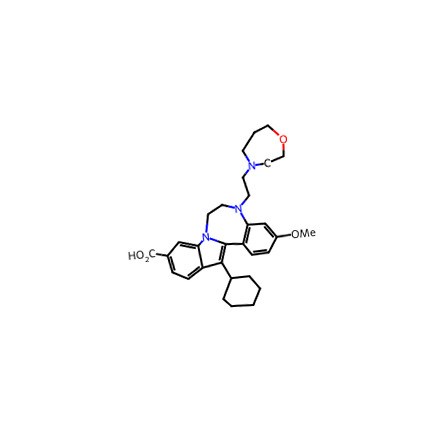 COc1ccc2c(c1)N(CCN1CCCOCC1)CCn1c-2c(C2CCCCC2)c2ccc(C(=O)O)cc21